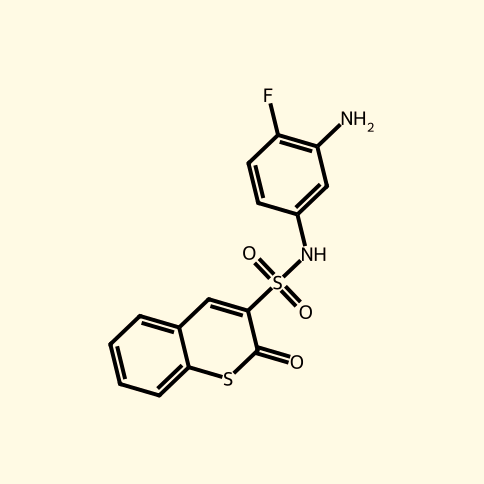 Nc1cc(NS(=O)(=O)c2cc3ccccc3sc2=O)ccc1F